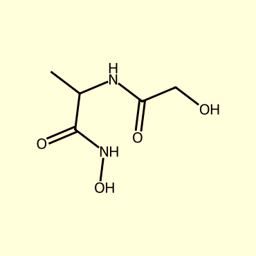 CC(NC(=O)CO)C(=O)NO